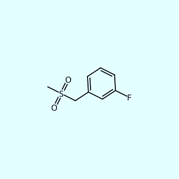 CS(=O)(=O)Cc1cccc(F)c1